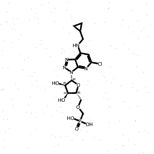 O=P(O)(O)COC[C@H]1O[C@@H](n2nnc3c(NCC4CC4)cc(Cl)nc32)[C@H](O)[C@@H]1O